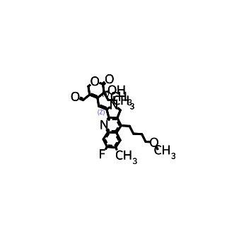 CC[C@@]1(O)C(=O)OCC(C=O)=C1/C=C1/c2nc3cc(F)c(C)cc3c(CCCCOC)c2CN1C